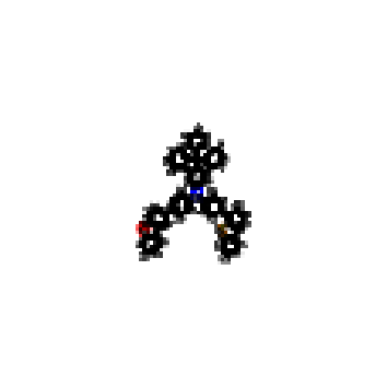 c1ccc(C2(c3ccccc3)c3ccccc3-c3cc(N(c4ccc(-c5ccc6oc7ccccc7c6c5)cc4)c4ccc(-c5cccc6c5sc5ccccc56)cc4)ccc32)cc1